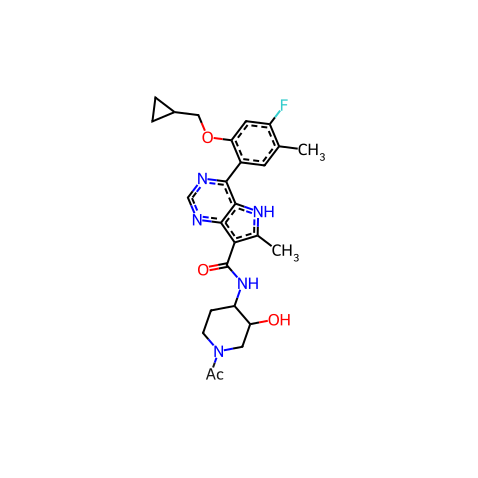 CC(=O)N1CCC(NC(=O)c2c(C)[nH]c3c(-c4cc(C)c(F)cc4OCC4CC4)ncnc23)C(O)C1